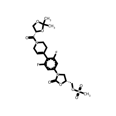 CC1(C)OC[C@@H](C(=O)N2CC=C(c3c(F)cc(N4C[C@H](COS(C)(=O)=O)OC4=O)cc3F)CC2)O1